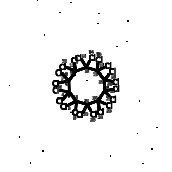 [O]C1(Cl)C(Cl)(Cl)C(Cl)(Cl)C(Cl)(Cl)C(Cl)(Cl)C(Cl)(Cl)C(Cl)(Cl)C(Cl)(Cl)C(Cl)(Cl)C1(Cl)Cl